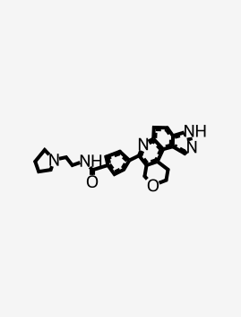 O=C(NCCN1CCCC1)c1ccc(-c2nc3ccc4[nH]ncc4c3c3c2COCC3)cc1